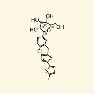 Cc1ccc(-c2ncc(Cc3cc([C@@H]4O[C@H](CO)[C@@H](O)[C@H](O)[C@H]4O)ccc3Cl)s2)s1